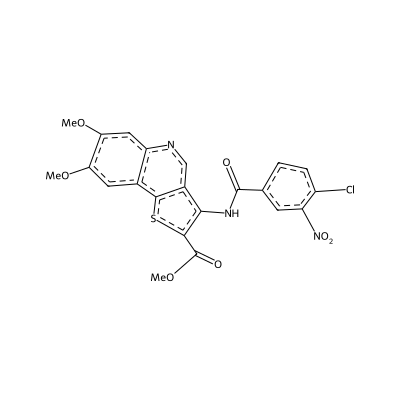 COC(=O)c1sc2c(cnc3cc(OC)c(OC)cc32)c1NC(=O)c1ccc(Cl)c([N+](=O)[O-])c1